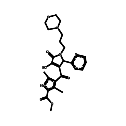 COC(=O)c1[nH]c(C)c(C(=O)C2=C(O)C(=O)N(CCCN3CCOCC3)C2c2ccccn2)c1C